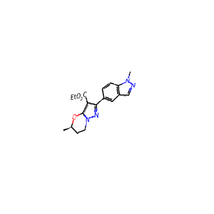 CCOC(=O)c1c(-c2ccc3c(cnn3C)c2)nn2c1O[C@H](C)CC2